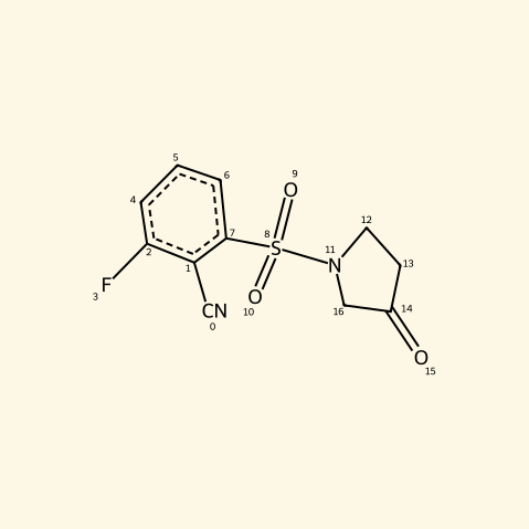 N#Cc1c(F)cccc1S(=O)(=O)N1CCC(=O)C1